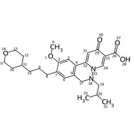 COc1cc2c(cc1CCCC1CCOCC1)CN(CC(C)C)n1cc(C(=O)O)c(=O)cc1-2